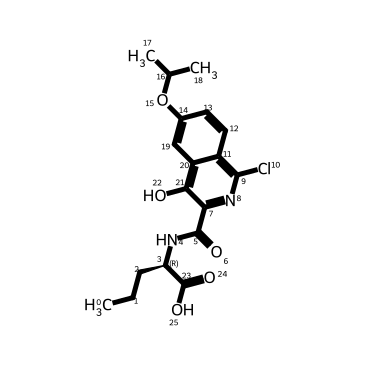 CCC[C@@H](NC(=O)c1nc(Cl)c2ccc(OC(C)C)cc2c1O)C(=O)O